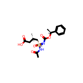 CC(=O)N[S@](=O)(C[C@@H](C)CC(=O)O)=NC(=O)O[C@@H](C)c1ccccc1